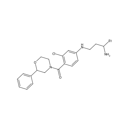 CCC(N)CCNc1ccc(C(=O)N2CCOC(c3ccccc3)C2)c(Cl)c1